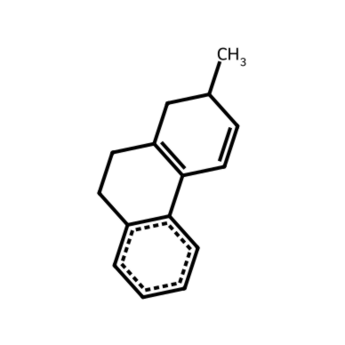 CC1C=CC2=C(CCc3ccccc32)C1